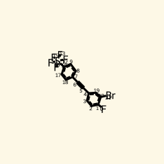 Fc1ccc(C#Cc2ccc(S(F)(F)(F)(F)F)cc2)cc1Br